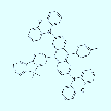 Cc1ccc(-c2c3ccc(N4c5ccccc5Oc5ccccc54)cc3c(-c3ccc4c(c3)C(C)(C)c3ccccc3-4)c3ccc(N4c5ccccc5Oc5ccccc54)cc23)cc1